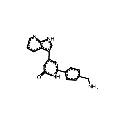 NCc1ccc(-c2nc(-c3c[nH]c4ncccc34)cc(=O)[nH]2)cc1